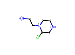 NCCN1CCNCC1Cl